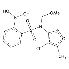 COCN(c1noc(C)c1Cl)S(=O)(=O)c1ccccc1B(O)O